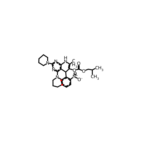 CC1=C(OC(=O)OCC(C)C)C(c2ccccc2[N+](=O)[O-])c2c(nc(N3CCCCC3)nc2N2CCCCC2)N1